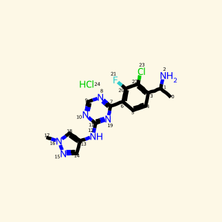 CC(N)c1ccc(-c2ncnc(Nc3cnn(C)c3)n2)c(F)c1Cl.Cl